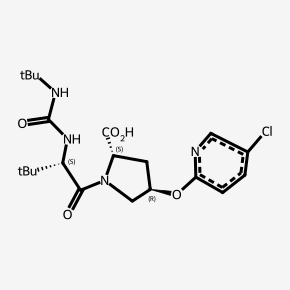 CC(C)(C)NC(=O)N[C@H](C(=O)N1C[C@H](Oc2ccc(Cl)cn2)C[C@H]1C(=O)O)C(C)(C)C